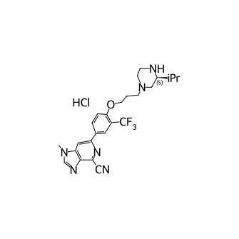 CC(C)[C@H]1CN(CCCOc2ccc(-c3cc4c(ncn4C)c(C#N)n3)cc2C(F)(F)F)CCN1.Cl